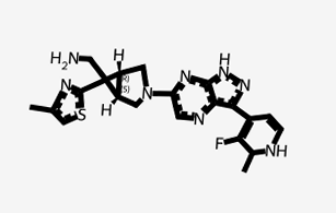 Cc1csc(C2(CN)[C@@H]3CN(c4cnc5c(C6=C(F)C(C)NC=C6)n[nH]c5n4)C[C@@H]32)n1